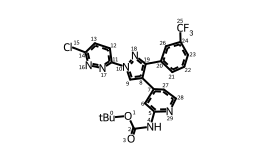 CC(C)(C)OC(=O)Nc1cc(-c2cn(-c3ccc(Cl)nn3)nc2-c2cccc(C(F)(F)F)c2)ccn1